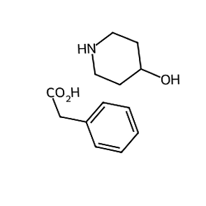 O=C(O)Cc1ccccc1.OC1CCNCC1